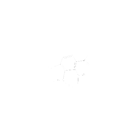 Cc1ccc(C(=O)Cl)c([N+](=O)[O-])c1N(C)C